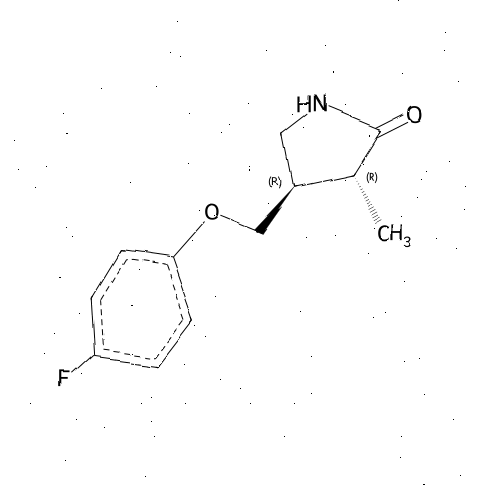 C[C@H]1C(=O)NC[C@@H]1COc1ccc(F)cc1